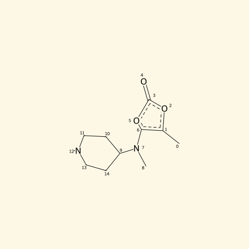 Cc1oc(=O)oc1N(C)C1CC[N]CC1